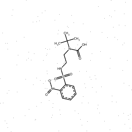 CC(C)(C)N(CCNS(=O)(=O)c1ccccc1[N+](=O)[O-])C(=O)O